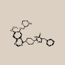 COc1cc2ncnc(N3CCN(c4ncc(Cc5ccccc5)c(=O)[nH]4)CC3)c2cc1OC[C@@H]1CNCCO1